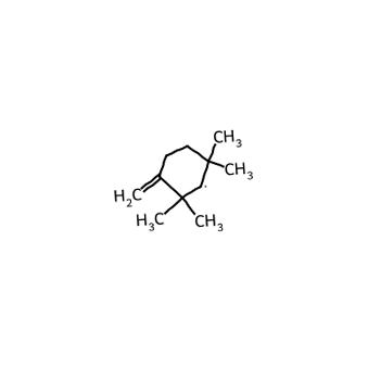 C=C1CCC(C)(C)[CH]C1(C)C